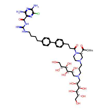 COC(=O)[C@H]1CN(CCCN(C[C@H](O)[C@@H](O)[C@H](O)[C@H](O)CO)C[C@H](O)[C@@H](O)[C@H](O)[C@H](O)CO)CCN1C(=O)CCc1ccc(-c2ccc(CCCCNC(=N)NC(=O)c3nc(Cl)c(N)nc3N)cc2)cc1